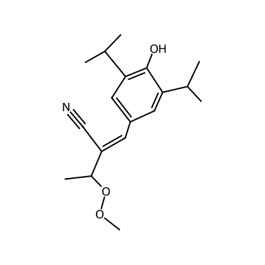 COOC(C)/C(C#N)=C/c1cc(C(C)C)c(O)c(C(C)C)c1